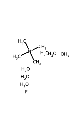 C[N+](C)(C)C.O.O.O.O.O.O.[F-]